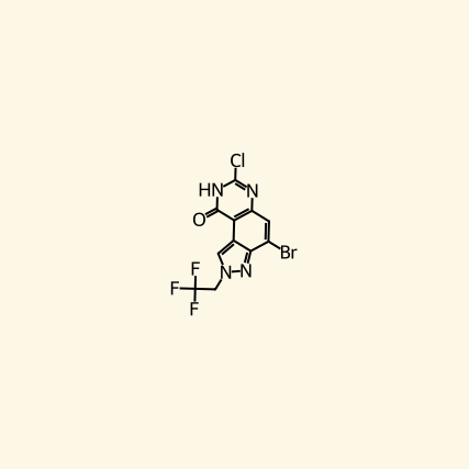 O=c1[nH]c(Cl)nc2cc(Br)c3nn(CC(F)(F)F)cc3c12